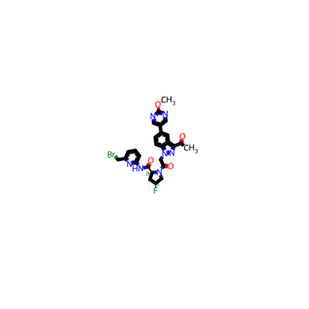 COc1ncc(-c2ccc3c(c2)c(C(C)=O)nn3CC(=O)N2C[C@H](F)C[C@H]2C(=O)Nc2cccc(CBr)n2)cn1